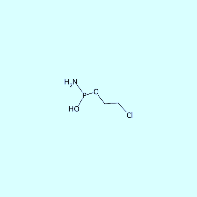 NP(O)OCCCl